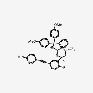 COc1ccc(C(NC2=N[C@](C)(c3cc(C#Cc4ccc(N)nc4)ccc3F)C[C@@H](C(F)(F)F)O2)(c2ccccc2)c2ccc(OC)cc2)cc1